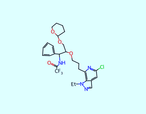 CCn1ncc2cc(Cl)nc(CCCOC(COC3CCCCO3)C(NC(=O)C(F)(F)F)c3ccccc3)c21